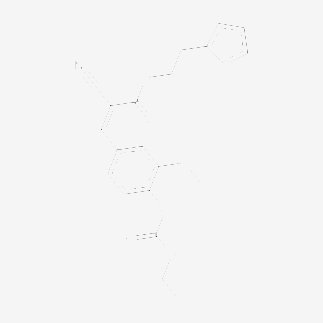 CCOC(=O)Oc1ccc(C=C(C#N)C(=O)OCCc2cccs2)cc1OC